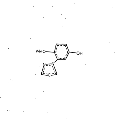 COc1ccc(O)cc1-n1cccn1